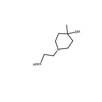 CCCCCCCCN1CCC(C)(O)CC1